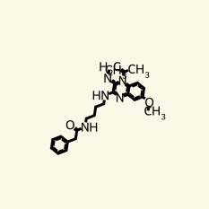 C=C(C)n1/c(=N\C)c(NCCCCNC(=O)Cc2ccccc2)nc2cc(OC)ccc21